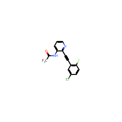 O=C(Nc1cccnc1C#Cc1cc(Cl)ccc1F)C(F)(F)F